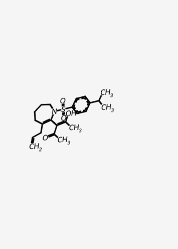 C=CCC1=C(C(C(C)=O)=C(C)O)N(S(=O)(=O)c2ccc(C(C)C)cc2)CCCC1